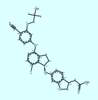 CC(C)(O)COc1cc(Oc2ccc(F)c3c2CC[C@H]3Oc2ccc3c(c2)OCC3CC(=O)O)ccc1C#N